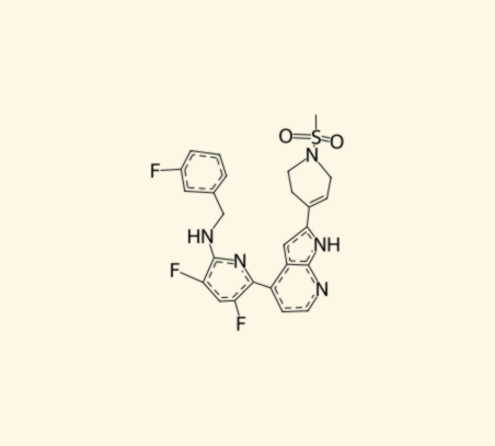 CS(=O)(=O)N1CC=C(c2cc3c(-c4nc(NCc5cccc(F)c5)c(F)cc4F)ccnc3[nH]2)CC1